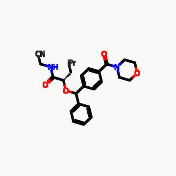 CC(C)C[C@H](OC(c1ccccc1)c1ccc(C(=O)N2CCOCC2)cc1)C(=O)NCC#N